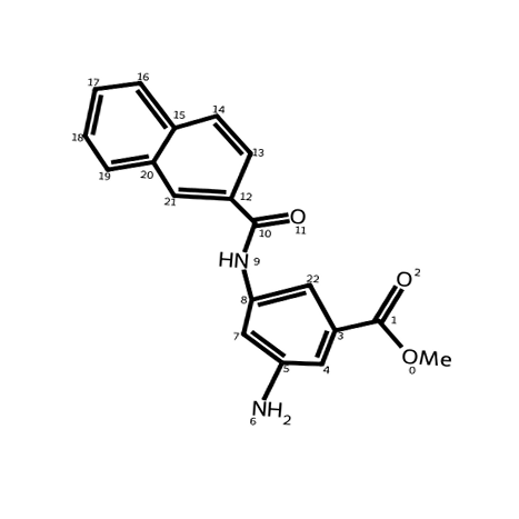 COC(=O)c1cc(N)cc(NC(=O)c2ccc3ccccc3c2)c1